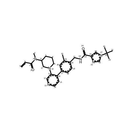 C=CC(=O)N(C)C1CCCN(c2cnccc2-c2ccc(CNC(=O)c3cn(C(C)(C)C)cn3)c(C)c2)C1